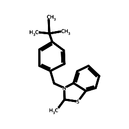 CC1Sc2ccccc2N1Cc1ccc(C(C)(C)C)cc1